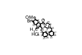 COc1cc2c(C(=O)N3CCN(Cc4ccccc4)CC3)c(CSc3ccccc3)n(C)c2cc1Br.Cl